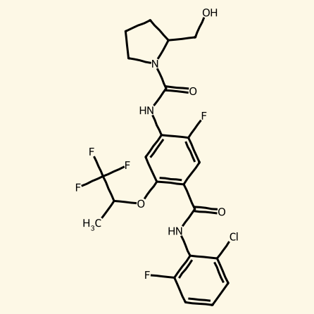 CC(Oc1cc(NC(=O)N2CCCC2CO)c(F)cc1C(=O)Nc1c(F)cccc1Cl)C(F)(F)F